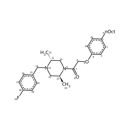 CCCCCCCCc1ccc(OCC(=O)N2C[C@@H](C)N(Cc3ccc(F)cc3)C[C@@H]2C)cc1